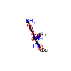 CC(C)(C)OC(=O)NCCCC[C@H](NC(=O)OC(C)(C)C)C(=O)NCCOCCOCCOCCN